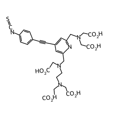 O=C(O)CN(CCN(CC(=O)O)Cc1cc(C#Cc2ccc(N=C=S)cc2)cc(CN(CC(=O)O)CC(=O)O)n1)CC(=O)O